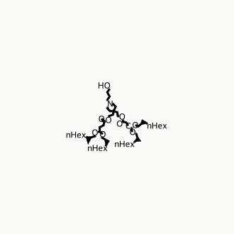 CCCCCCC1CC1COC(CCC(=O)OCCC1(CCOC(=O)CCC(OCC2CC2CCCCCC)OCC2CC2CCCCCC)CCN(CCCCO)CC1)OCC1CC1CCCCCC